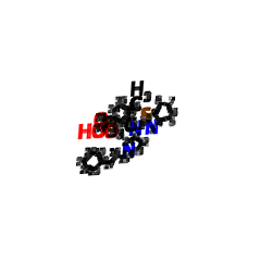 CN(c1nc2ccccc2s1)C1CCN(CC=Cc2ccccc2)C1.Cc1ccc(S(=O)(=O)O)cc1